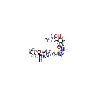 CC(C)CN(C)C(O)Cc1cccc(CC(=O)Nc2nnc(CCCCc3ccc(NC(=O)Cc4ccccc4)nn3)s2)c1